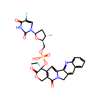 CC[C@@]1(OP(=O)(O)OC[C@H]2O[C@@H](n3cc(F)c(=O)[nH]c3=O)C[C@@H]2C)C(=O)OCc2c1cc1n(c2=O)Cc2cc3ccccc3nc2-1